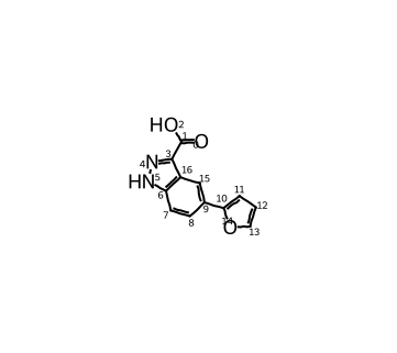 O=C(O)c1n[nH]c2ccc(-c3ccco3)cc12